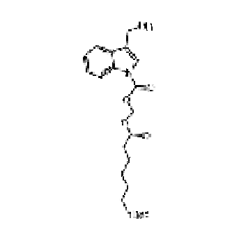 CCCCCCCCCCCCCCCC(=O)OCOC(=O)n1cc(CO)c2ccccc21